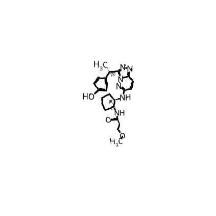 COCCC(=O)N[C@H]1CCCC[C@H]1Nc1ccc2nnc([C@@H](C)c3ccc(O)cc3)n2n1